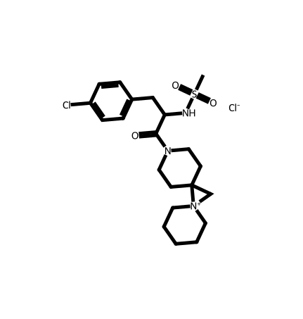 CS(=O)(=O)NC(Cc1ccc(Cl)cc1)C(=O)N1CCC2(CC1)C[N+]21CCCCC1.[Cl-]